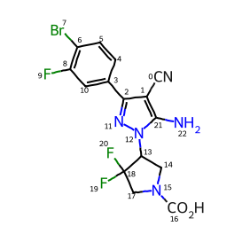 N#Cc1c(-c2ccc(Br)c(F)c2)nn(C2CN(C(=O)O)CC2(F)F)c1N